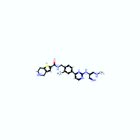 CN/C=C(\C=N)Nc1nccc(-c2ccc(CNC(=O)c3cc4c(s3)CCNC4)c(C)c2)n1